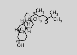 CC(C)C(=O)CC[C@@H](C)[C@H]1CC[C@H]2[C@@H]3CC=C4C[C@@H](O)CC[C@]4(C)[C@H]3CC[C@]12C